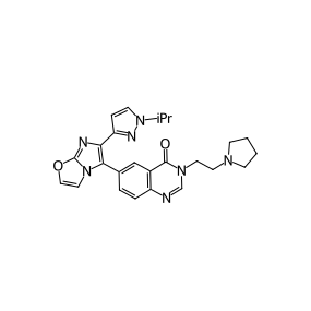 CC(C)n1ccc(-c2nc3occn3c2-c2ccc3ncn(CCN4CCCC4)c(=O)c3c2)n1